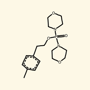 Cc1ccc(CCOP(=O)(N2CCOCC2)N2CCOCC2)cc1